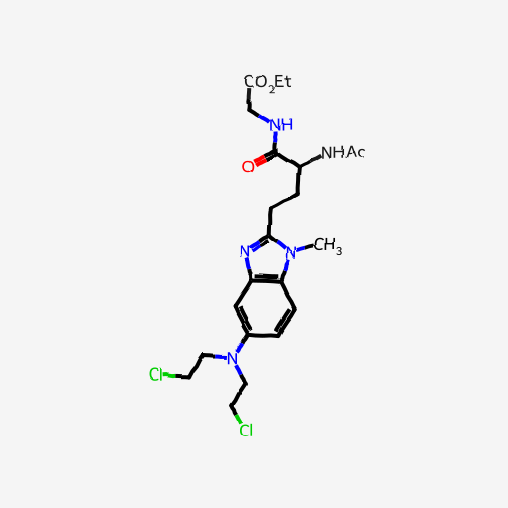 CCOC(=O)CNC(=O)C(CCc1nc2cc(N(CCCl)CCCl)ccc2n1C)NC(C)=O